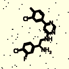 Cc1ccc(-c2cc(NC[C@@H](N)c3ccc(Cl)c(F)c3)ncn2)cc1Cl